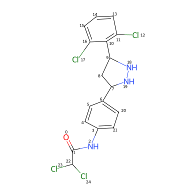 O=C(Nc1ccc(C2CC(c3c(Cl)cccc3Cl)NN2)cc1)C(Cl)Cl